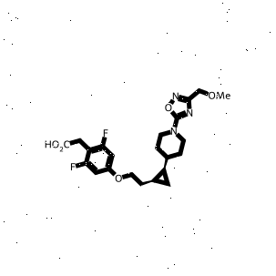 COCc1noc(N2CCC([C@H]3C[C@H]3CCOc3cc(F)c(CC(=O)O)c(F)c3)CC2)n1